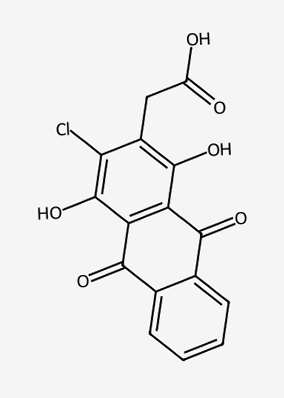 O=C(O)Cc1c(O)c2c(c(O)c1Cl)C(=O)c1ccccc1C2=O